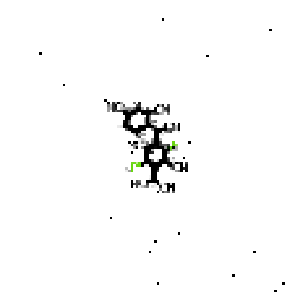 N#CC(C#N)=c1c(F)c(C#N)/c(=C(/C#N)c2c(C#N)cc(C#N)cc2C(F)(F)F)c(F)c1C#N